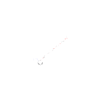 CCOOCCCOCCOCCOCCOCCOC1C=CC=CC1N